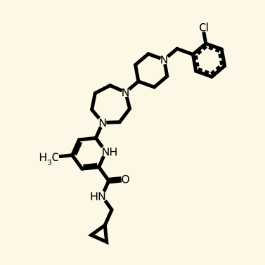 CC1=CC(N2CCCN(C3CCN(Cc4ccccc4Cl)CC3)CC2)NC(C(=O)NCC2CC2)=C1